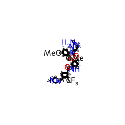 COc1ccc(N(C(=O)Oc2cc(NC(=O)c3ccc(CN4CCN(C)CC4)c(C(F)(F)F)c3)ccc2C)c2ccnc(N)n2)c(OC)c1